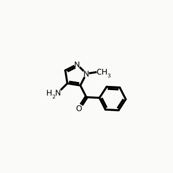 Cn1ncc(N)c1C(=O)c1ccccc1